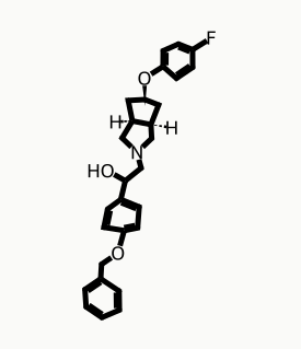 OC(CN1C[C@H]2C[C@@H](Oc3ccc(F)cc3)C[C@H]2C1)c1ccc(OCc2ccccc2)cc1